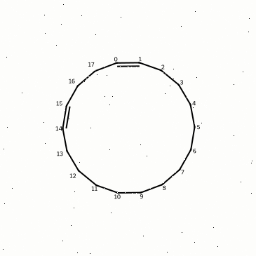 C1=CCCCCCCCCCCCCC=CCC1